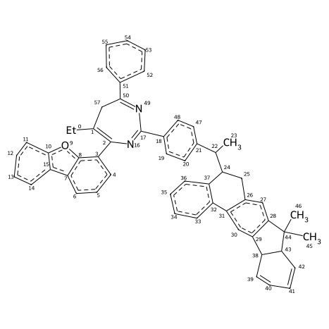 CCC1=C(c2cccc3c2oc2ccccc23)N=C(c2ccc(C(C)C3Cc4cc5c(cc4-c4ccccc43)C3C=CC=CC3C5(C)C)cc2)N=C(c2ccccc2)C1